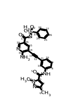 Cc1cc(C(=O)Nc2cccc(C#Cc3cc(C(=O)N=[S@@](C)(=O)c4ccccc4)cnc3N)c2)n(C)n1